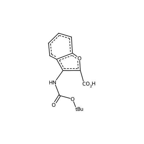 CC(C)(C)OC(=O)Nc1c(C(=O)O)oc2ccccc12